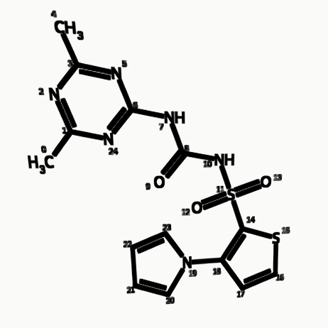 Cc1nc(C)nc(NC(=O)NS(=O)(=O)c2sccc2-n2cccc2)n1